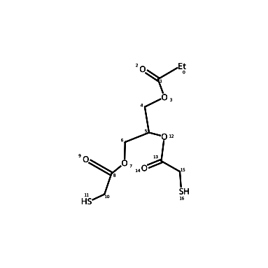 CCC(=O)OCC(COC(=O)CS)OC(=O)CS